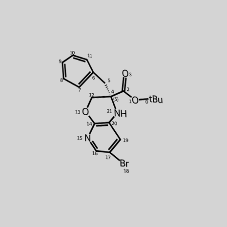 CC(C)(C)OC(=O)[C@]1(Cc2ccccc2)COc2ncc(Br)cc2N1